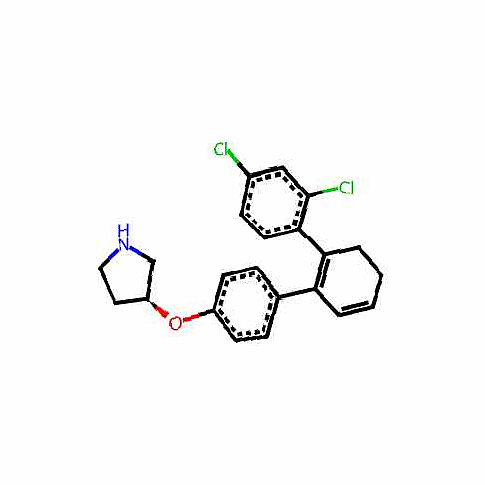 Clc1ccc(C2=C(c3ccc(O[C@H]4CCNC4)cc3)C=CCC2)c(Cl)c1